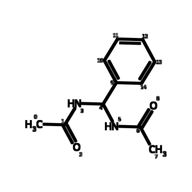 CC(=O)N[C](NC(C)=O)c1ccccc1